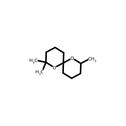 CC1CCCC2(CCCC(C)(C)O2)O1